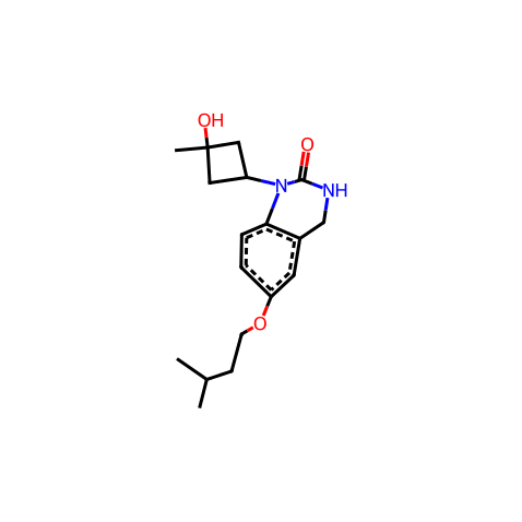 CC(C)CCOc1ccc2c(c1)CNC(=O)N2C1CC(C)(O)C1